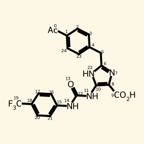 CC(=O)c1ccc(Cc2nc(C(=O)O)c(NC(=O)Nc3ccc(C(F)(F)F)cc3)[nH]2)cc1